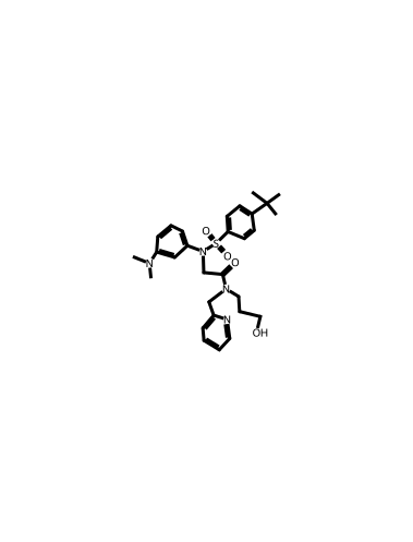 CN(C)c1cccc(N(CC(=O)N(CCCO)Cc2ccccn2)S(=O)(=O)c2ccc(C(C)(C)C)cc2)c1